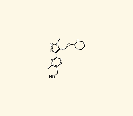 Cc1nc(-c2nnn(C)c2COC2CCCCO2)ccc1CO